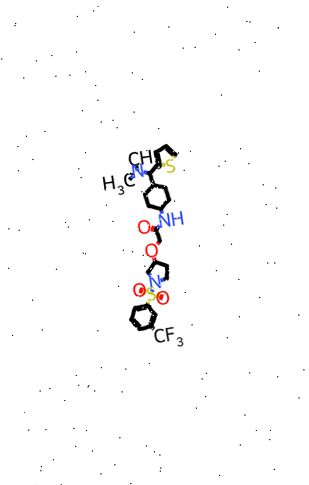 CN(C)C(c1cccs1)C1CCC(NC(=O)COC2CCN(S(=O)(=O)c3cccc(C(F)(F)F)c3)C2)CC1